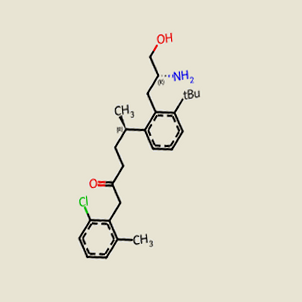 Cc1cccc(Cl)c1CC(=O)CC[C@@H](C)c1cccc(C(C)(C)C)c1C[C@@H](N)CO